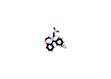 CN(C)CCN1CCOc2ccccc2C1c1ccccc1F.Cl.Cl